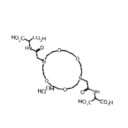 Cl.Cl.O=C(CN1CCOCCOCCN(CC(=O)NC(C(=O)O)C(=O)O)CCOCCOCC1)NC(C(=O)O)C(=O)O